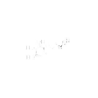 [N-]=[N+]=NCCO[C@@H]1OC[C@@H](O)C(O)C1O